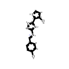 Clc1ccc(/C=N/c2noc(-c3sccc3Cl)n2)cc1